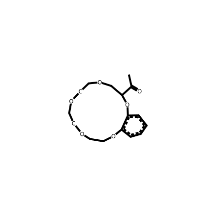 CC(=O)C1COCCOCCOCCOc2ccccc2O1